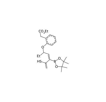 C=C(S)/C(=C\C(CC)Oc1ccccc1CC(=O)OCC)B1OC(C)(C)C(C)(C)O1